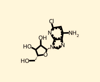 Nc1cc(Cl)nc2c1ncn2[C@@H]1O[C@H](CO)C(O)C1O